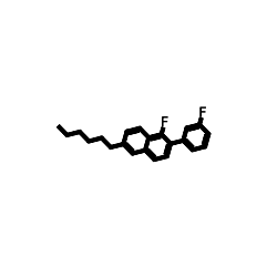 CCCCCCc1ccc2c(F)c(-c3cccc(F)c3)ccc2c1